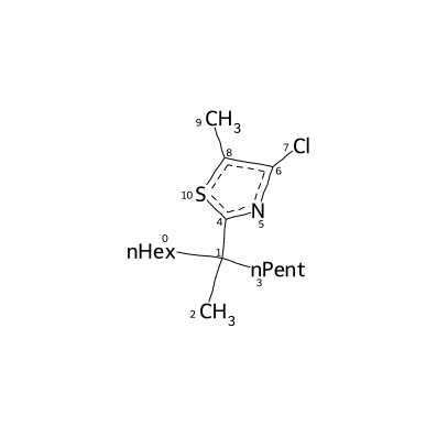 CCCCCCC(C)(CCCCC)c1nc(Cl)c(C)s1